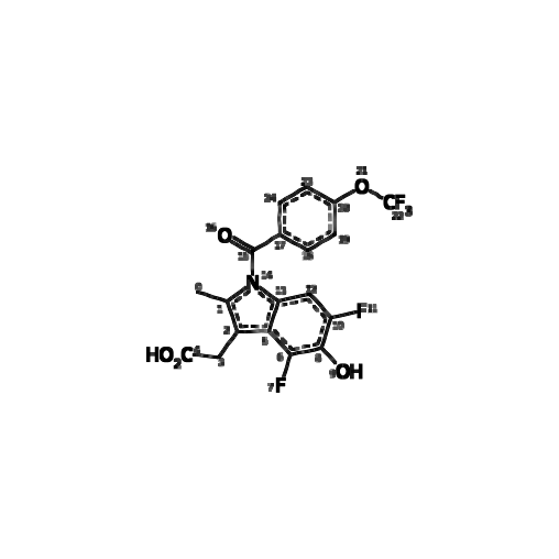 Cc1c(CC(=O)O)c2c(F)c(O)c(F)cc2n1C(=O)c1ccc(OC(F)(F)F)cc1